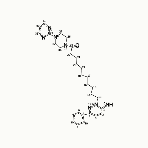 N=c1ccc(-c2ccccc2)nn1CCCCCCCCCCC(=O)N1CCN(c2ncccn2)CC1